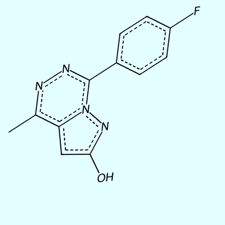 Cc1nnc(-c2ccc(F)cc2)n2nc(O)cc12